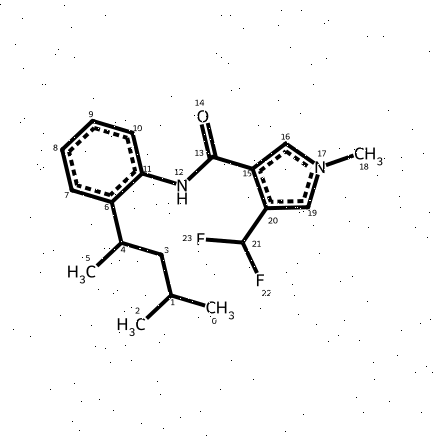 CC(C)CC(C)c1ccccc1NC(=O)c1cn(C)cc1C(F)F